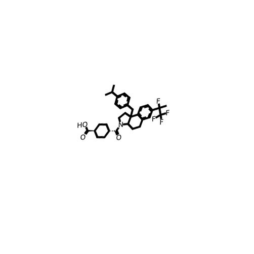 CC(C)c1ccc(CC23CCN(C(=O)[C@H]4CC[C@H](C(=O)O)CC4)C2CCc2cc(C(C)(F)C(F)(F)F)ccc23)cc1